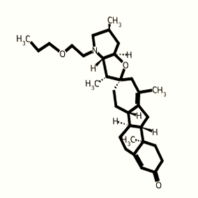 CCCOCCN1C[C@@H](C)C[C@H]2O[C@]3(CC[C@@H]4C(=C(C)C3)C[C@H]3[C@H]4CCC4=CC(=O)CC[C@@]43C)[C@H](C)[C@@H]21